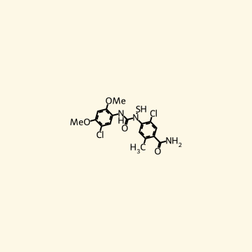 COc1cc(OC)c(NC(=O)N(S)c2cc(C)c(C(N)=O)cc2Cl)cc1Cl